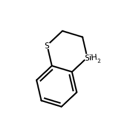 c1ccc2c(c1)[SiH2]CCS2